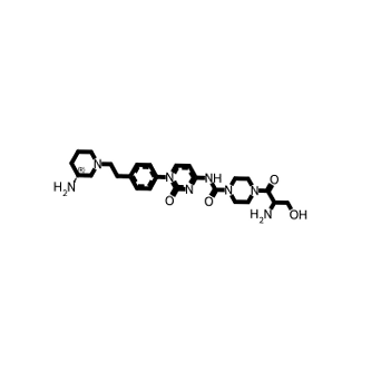 NC(CO)C(=O)N1CCN(C(=O)Nc2ccn(-c3ccc(CCN4CCC[C@@H](N)C4)cc3)c(=O)n2)CC1